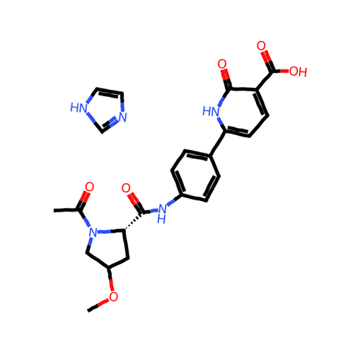 COC1C[C@@H](C(=O)Nc2ccc(-c3ccc(C(=O)O)c(=O)[nH]3)cc2)N(C(C)=O)C1.c1c[nH]cn1